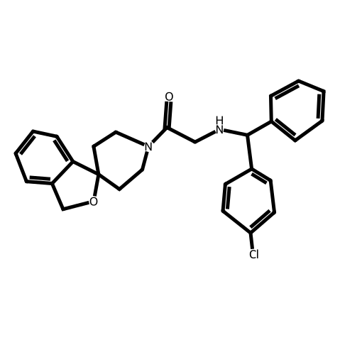 O=C(CNC(c1ccccc1)c1ccc(Cl)cc1)N1CCC2(CC1)OCc1ccccc12